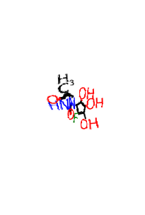 Cc1cn(C2C(O)C(O)C(CO)C2F)c(=O)[nH]c1=O